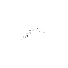 C/C(=C\CC(=O)Oc1ccc(-c2ccc(-c3ccc(C#N)cc3)c(F)c2)c(F)c1)C(=O)Oc1ccc(-c2ccc(F)cc2)c(F)c1